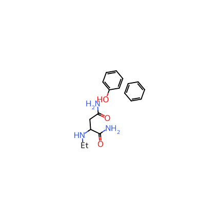 CCNC(CC(N)=O)C(N)=O.Oc1ccccc1.c1ccccc1